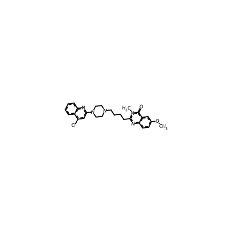 COc1ccc2nc(CCCCN3CCN(c4cc(Cl)c5ccccc5n4)CC3)n(C)c(=O)c2c1